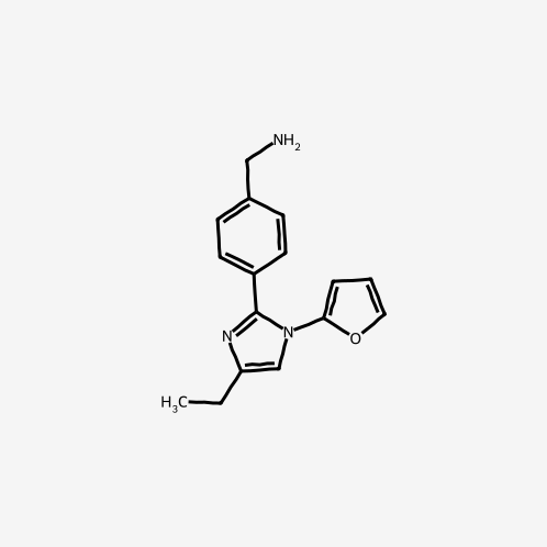 CCc1cn(-c2ccco2)c(-c2ccc(CN)cc2)n1